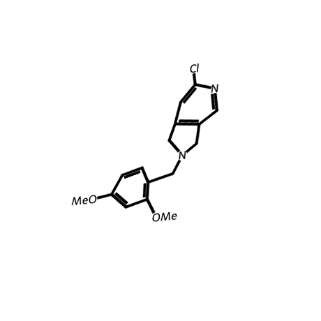 COc1ccc(CN2Cc3cnc(Cl)cc3C2)c(OC)c1